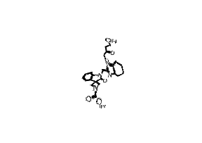 CC(C)OC(=O)N1CC2(C1)C(=O)N(Cc1nc3c(n1CC(=O)CCO)CCCC3)c1ccccc12